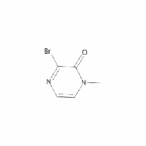 Cn1ccnc(Br)c1=O